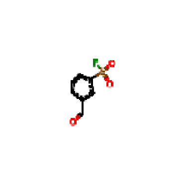 O=Cc1cccc(S(=O)(=O)F)c1